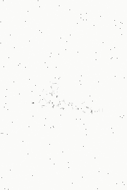 C#Cc1ccc(NC(=O)c2cc(C#C)ccc2NC(=O)c2ccc(N=CN3CCC(OC(=O)O)CC3)cc2F)cc1